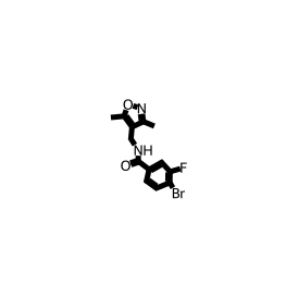 Cc1noc(C)c1CNC(=O)c1ccc(Br)c(F)c1